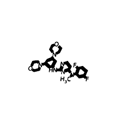 CN(c1ccnc(Nc2cc(N3CCOCC3)cc(N3CCOCC3)c2)n1)c1cc(F)ccc1F